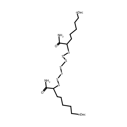 CCCCCCCCCCCCCCCC(SSSSSSSC(CCCCCCCCCCCCCCC)C(N)=O)C(N)=O